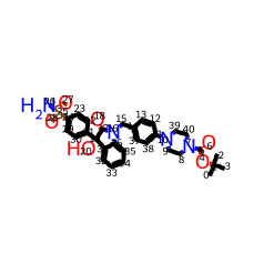 CC(C)(C)OC(=O)N1CCN(c2ccc(CN3C(=O)C(O)(c4ccc(S(N)(=O)=O)cc4)c4ccccc43)cc2)CC1